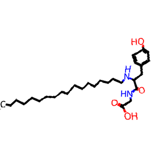 CCCCCCCCCCCCCCCCCCNC(Cc1ccc(O)cc1)C(=O)NCC(=O)O